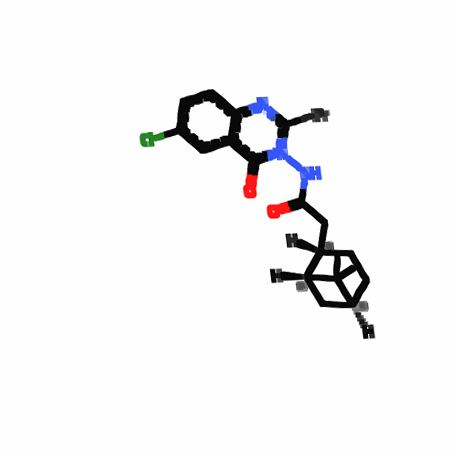 CC(C)c1nc2ccc(Cl)cc2c(=O)n1NC(=O)C[C@@H]1CC[C@H]2C[C@H]1C2(C)C